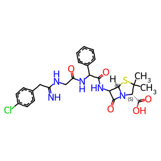 CC1(C)S[C@@H]2C(NC(=O)C(NC(=O)CNC(=N)Cc3ccc(Cl)cc3)c3ccccc3)C(=O)N2[C@H]1C(=O)O